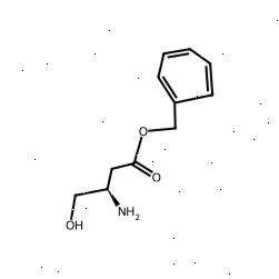 N[C@@H](CO)CC(=O)OCc1ccccc1